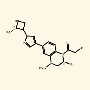 CC(C)CC(=O)N1c2ccc(-c3cnn(C4CN[C@H]4C)c3)cc2N(C(=O)O)C[C@@H]1C